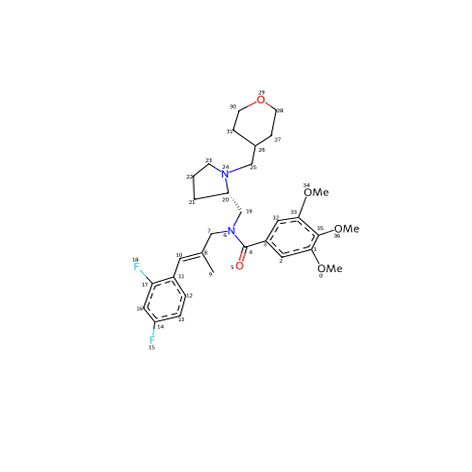 COc1cc(C(=O)N(C/C(C)=C/c2ccc(F)cc2F)C[C@@H]2CCCN2CC2CCOCC2)cc(OC)c1OC